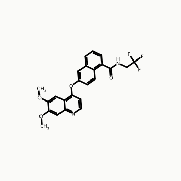 COc1cc2nccc(Oc3ccc4c(C(=O)NCC(F)(F)F)cccc4c3)c2cc1OC